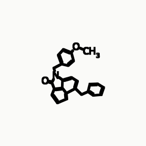 COc1ccc(CN2C(=O)c3cccc4c(Cc5ccccc5)ccc2c34)cc1